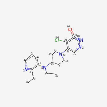 CCc1ncccc1N(CC)C1CCN(c2cn[nH]c(=O)c2Cl)CC1